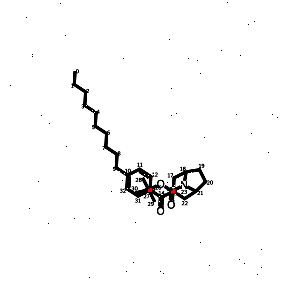 CCCCCCCCCCc1ccc(C(=O)N2CC3CCC(C2)N3C(=O)OC(C)(C)C)cc1